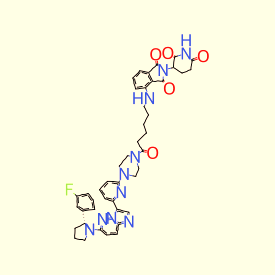 O=C1CCC(N2C(=O)c3cccc(NCCCCCC(=O)N4CCN(c5cccc(-c6cnc7ccc(N8CCC[C@@H]8c8cccc(F)c8)nn67)n5)CC4)c3C2=O)C(=O)N1